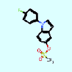 O=S(=O)(Oc1ccc2c(ccn2-c2ccc(F)cc2)c1)C(F)(F)F